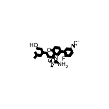 [C-]#[N+]c1ccc(F)c(-c2ccc3c(c2)C2(CC(C(C=C(C)C)CCO)O3)N=C(N)N(C)O2)c1